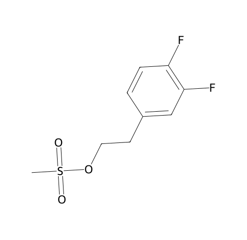 CS(=O)(=O)OCCc1ccc(F)c(F)c1